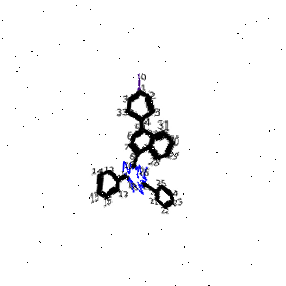 Ic1ccc(-c2ccc(-c3nc(-c4ccccc4)nc(-c4ccccc4)n3)c3ccccc23)cc1